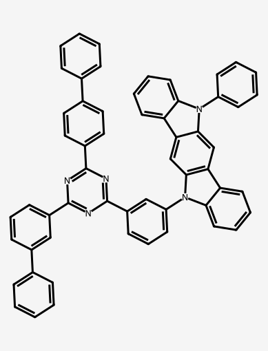 c1ccc(-c2ccc(-c3nc(-c4cccc(-c5ccccc5)c4)nc(-c4cccc(-n5c6ccccc6c6cc7c(cc65)c5ccccc5n7-c5ccccc5)c4)n3)cc2)cc1